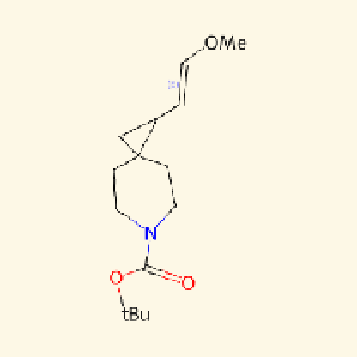 CO/C=C/C1CC12CCN(C(=O)OC(C)(C)C)CC2